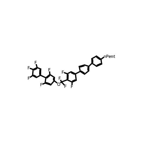 CCCCCc1ccc(-c2ccc(-c3cc(F)c(C(F)(F)Oc4cc(F)c(-c5cc(F)c(F)c(F)c5)c(F)c4)c(F)c3)cc2)cc1